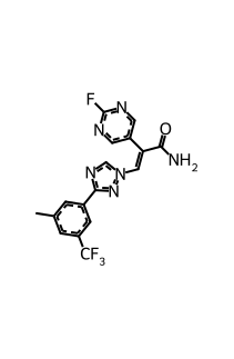 Cc1cc(-c2ncn(/C=C(/C(N)=O)c3cnc(F)nc3)n2)cc(C(F)(F)F)c1